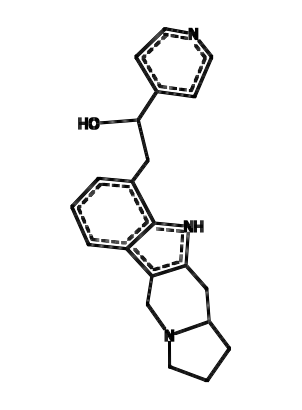 OC(Cc1cccc2c3c([nH]c12)CC1CCCN1C3)c1ccncc1